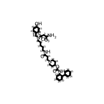 CC(C)(CC(N)=O)N(CCCCCNC(=O)CCN1CCC(OC(=O)Nc2ccccc2-c2ccccc2)CC1)Cc1ccc(O)cc1